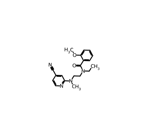 CCN(CCN(C)c1cc(C#N)ccn1)C(=O)c1ccccc1OC